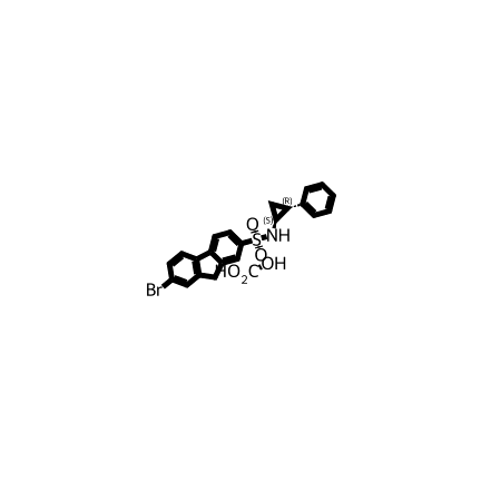 O=C(O)O.O=S(=O)(N[C@H]1C[C@@H]1c1ccccc1)c1ccc2c(c1)Cc1cc(Br)ccc1-2